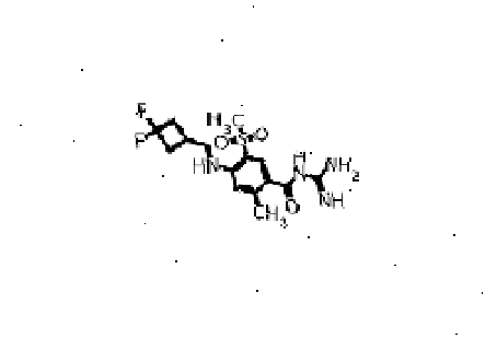 Cc1cc(NCC2CC(F)(F)C2)c(S(C)(=O)=O)cc1C(=O)NC(=N)N